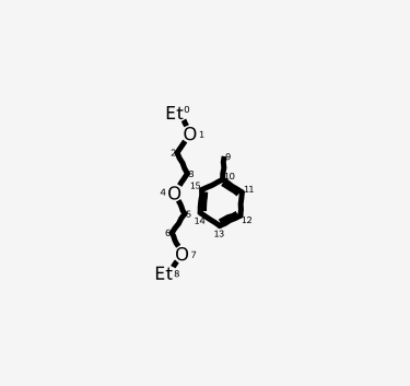 CCOCCOCCOCC.Cc1ccccc1